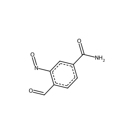 NC(=O)c1ccc(C=O)c(N=O)c1